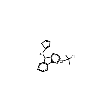 C1=CC[C]([Zr][CH]2c3ccccc3-c3ccccc32)=C1.CC(C)(Cl)Cl